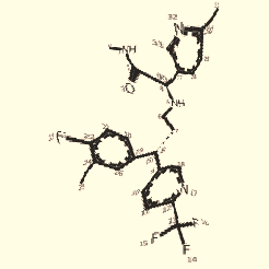 CNC(=O)[C@H](NCC[C@H](c1ccc(C(F)(F)F)nc1)c1ccc(F)c(C)c1)c1ccc(C)nc1